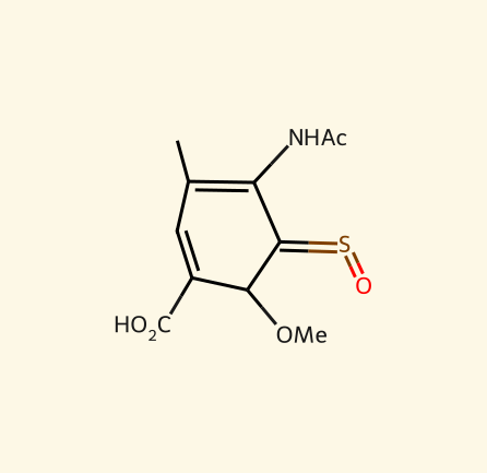 COC1C(C(=O)O)=CC(C)=C(NC(C)=O)C1=S=O